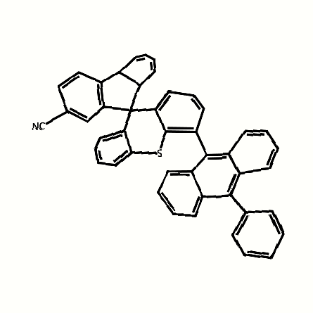 N#Cc1ccc2c(c1)C1(c3ccccc3Sc3c(-c4c5ccccc5c(-c5ccccc5)c5ccccc45)cccc31)C1C=CC=CC21